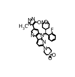 COc1nnn(C)c1-c1cnc2c3ccc(N4CCS(=O)(=O)CC4)nc3n([C@H](c3ccccc3F)C3CCOCC3)c2c1